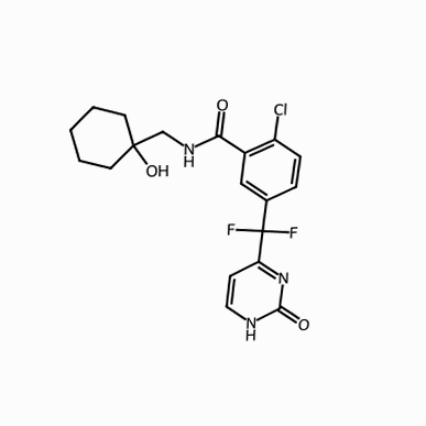 O=C(NCC1(O)CCCCC1)c1cc(C(F)(F)c2cc[nH]c(=O)n2)ccc1Cl